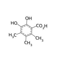 Cc1c(C)c(O)c(O)c(C(=O)O)c1C